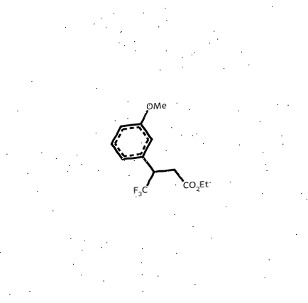 CCOC(=O)CC(c1cccc(OC)c1)C(F)(F)F